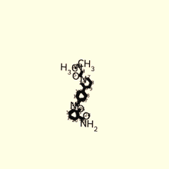 CN(C)CC(=O)N1CCCC(c2ccc(-c3nc4cccc(C(N)=O)c4o3)cc2)C1